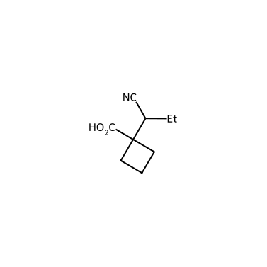 CCC(C#N)C1(C(=O)O)CCC1